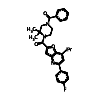 CC(C)c1cc(-c2ccc(F)cc2)nc2cc(C(=O)N3CCN(C(=O)c4ccccc4)CC3(C)C)oc12